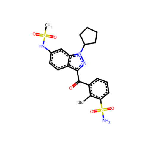 CC(C)(C)c1c(C(=O)c2nn(C3CCCC3)c3cc(NS(C)(=O)=O)ccc23)cccc1S(N)(=O)=O